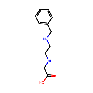 O=C(O)CNCCNCc1ccccc1